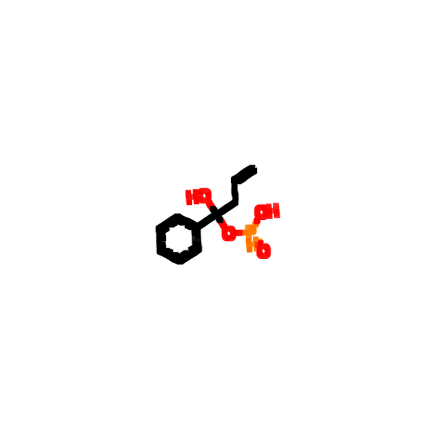 C=CCC(O)(O[PH](=O)O)c1ccccc1